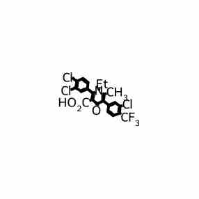 CCn1c(C)c(-c2ccc(C(F)(F)F)c(Cl)c2)c(=O)c(C(=O)O)c1-c1ccc(Cl)c(Cl)c1